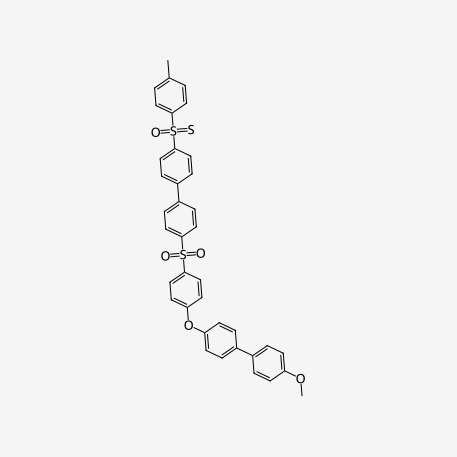 COc1ccc(-c2ccc(Oc3ccc(S(=O)(=O)c4ccc(-c5ccc(S(=O)(=S)c6ccc(C)cc6)cc5)cc4)cc3)cc2)cc1